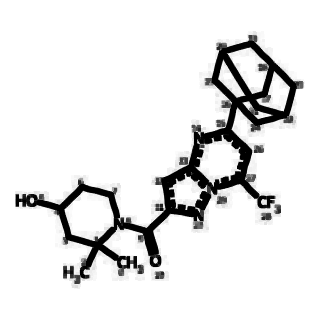 CC1(C)CC(O)CCN1C(=O)c1cc2nc(C34CC5CC(CC(C5)C3)C4)cc(C(F)(F)F)n2n1